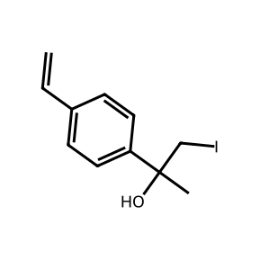 C=Cc1ccc(C(C)(O)CI)cc1